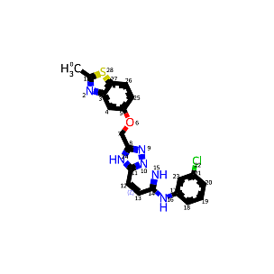 Cc1nc2cc(OCc3nnc(/C=C\C(=N)Nc4cccc(Cl)c4)[nH]3)ccc2s1